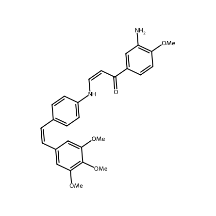 COc1ccc(C(=O)/C=C\Nc2ccc(/C=C\c3cc(OC)c(OC)c(OC)c3)cc2)cc1N